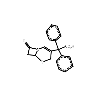 O=C1CC2SCC(C(C(=O)O)(c3ccccc3)c3ccccc3)=CN12